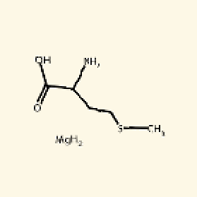 CSCCC(N)C(=O)O.[MgH2]